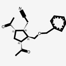 CC(=O)[C@H]1C[C@@H](C(C)=O)[C@H](COCc2ccccc2)[C@H]1CC#N